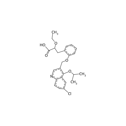 CCOC(Cc1ccccc1OCc1cnc2ccc(Cl)cc2c1OC(C)C)C(=O)O